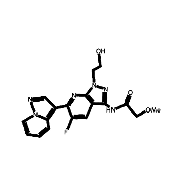 COCC(=O)Nc1nn(CCO)c2nc(-c3cnn4ccccc34)c(F)cc12